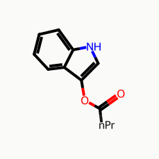 CCCC(=O)Oc1c[nH]c2ccccc12